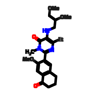 CCc1nc(-c2cc3c(cc2OC)C(=O)CCC3)n(C)c(=O)c1NCC(COC)OC